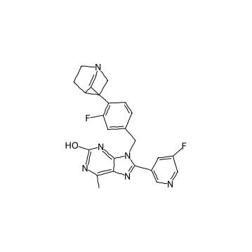 Cc1nc(O)nc2c1nc(-c1cncc(F)c1)n2Cc1ccc(C2=CN3CCC2CC3)c(F)c1